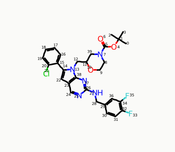 CC(C)(C)OC(=O)N1CCOC(Cn2c(-c3ccccc3Cl)cc3cnc(NCc4ccc(F)c(F)c4)nc32)C1